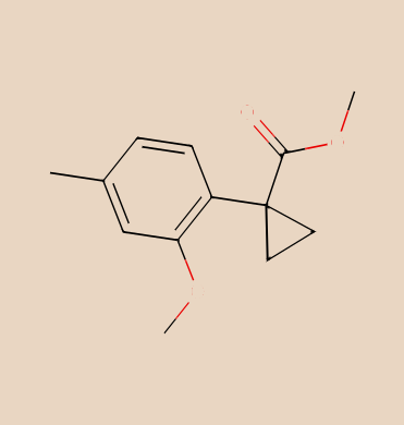 COC(=O)C1(c2ccc(C)cc2OC)CC1